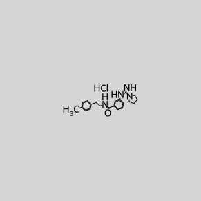 Cc1ccc(CCNC(=O)c2cccc(NC(=N)N3CCCC3)c2)cc1.Cl